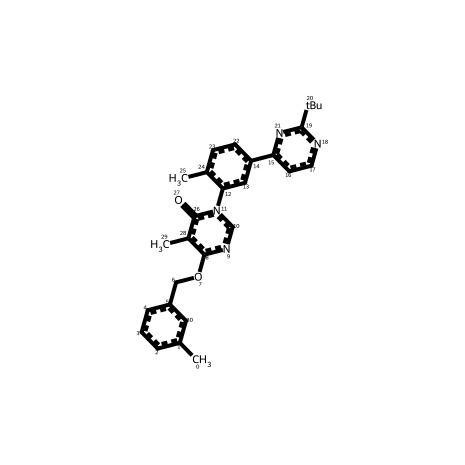 Cc1cccc(COc2ncn(-c3cc(-c4ccnc(C(C)(C)C)n4)ccc3C)c(=O)c2C)c1